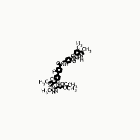 Cc1sc2c(c1C)C(c1ccc(-c3ccc(C(=O)NCc4ccc(S(=O)(=O)Nc5ccc(C)c6c(C)c[nH]c56)cc4)cc3F)cc1)=NC(CC(=O)OC(C)(C)C)c1nnc(C)n1-2